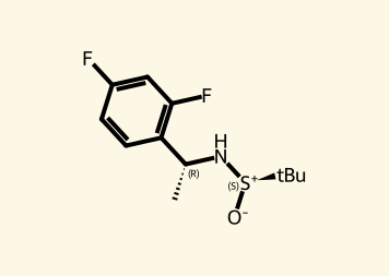 C[C@@H](N[S@+]([O-])C(C)(C)C)c1ccc(F)cc1F